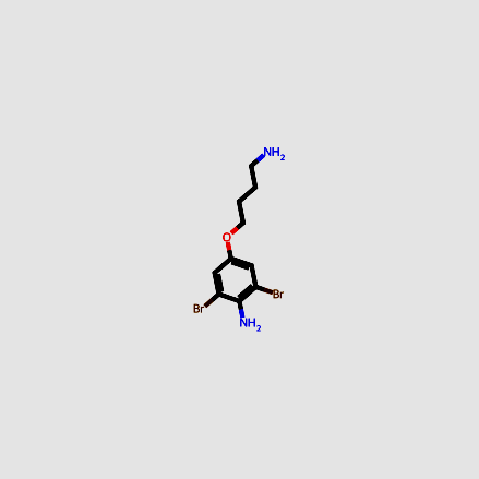 NCCCCOc1cc(Br)c(N)c(Br)c1